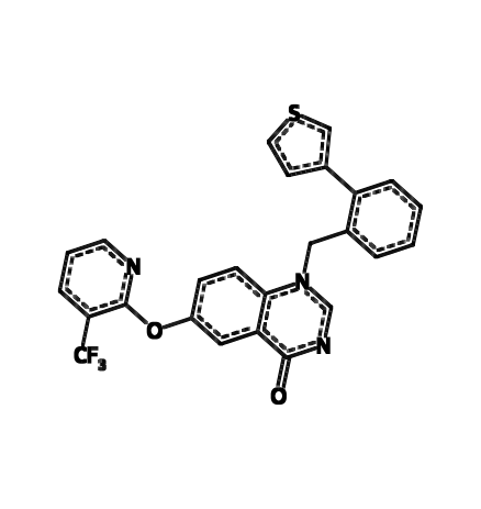 O=c1ncn(Cc2ccccc2-c2ccsc2)c2ccc(Oc3ncccc3C(F)(F)F)cc12